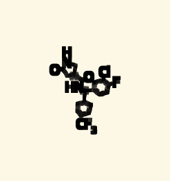 O=C1C[C@H](C(=O)N[C@H](c2ccc(C(F)(F)F)cc2)c2ccc(F)c(Cl)c2)CN1